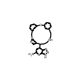 Nc1cc(C2CCNCCc3cccc(c3)Oc3cccc(c3)Cn3cc2cn3)c2nn[nH]c2n1